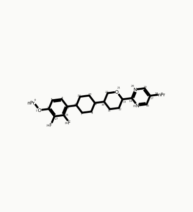 CCCOc1ccc(C2CCC(C3CCC(c4ncc(CCC)cn4)OC3)CC2)c(F)c1F